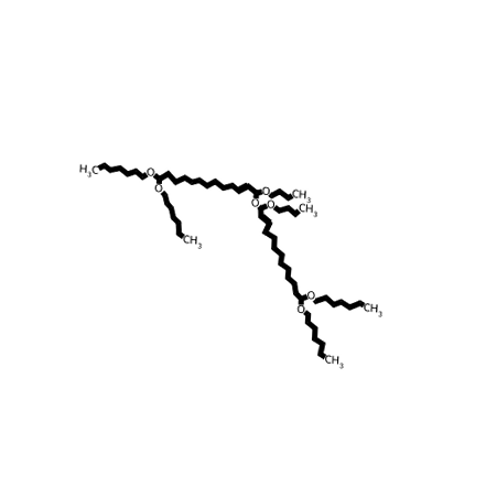 CCCCCCCOC(CCCCCCCCCC=CC(OCCCC)OC(C=CCCCCCCCCCC(OCCCCCCC)OCCCCCCC)OCCCC)OCCCCCCC